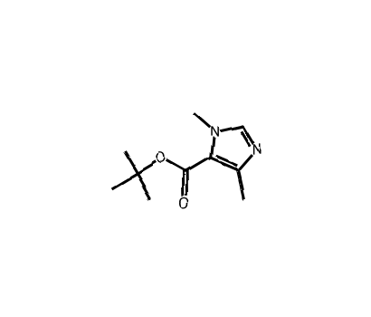 Cc1ncn(C)c1C(=O)OC(C)(C)C